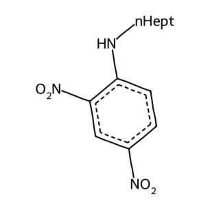 CCCCCCCNc1ccc([N+](=O)[O-])cc1[N+](=O)[O-]